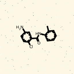 Cc1c[c]ccc1NC(=O)c1cc(N)ccc1Cl